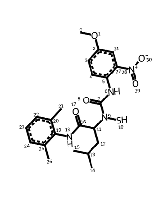 COc1ccc(NC(=O)N(S)C(CC(C)C)C(=O)Nc2c(C)cccc2C)c([N+](=O)[O-])c1